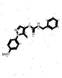 COc1ccc(-n2ncc(OC(=O)NCc3ccccc3)c2C)cc1